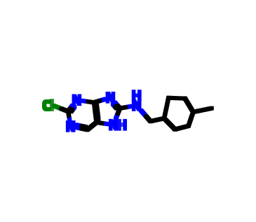 CC1CCC(CNc2nc3nc(Cl)ncc3[nH]2)CC1